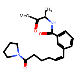 COC(=O)[C@@H](C)NC(=O)c1cccc(/C=C\CCCC(=O)N2CCCC2)c1